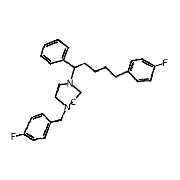 Fc1ccc(CCCCC(c2ccccc2)N2CCN(Cc3ccc(F)cc3)CC2)cc1